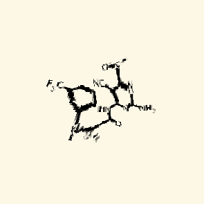 C[C@@H](C(=O)Nc1nc(N)nc([S+](C)[O-])c1C#N)N(C)c1cccc(C(F)(F)F)c1